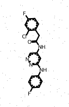 O=C(Cc1ccc(F)cc1Cl)Nc1cnnc(Nc2ccc(F)cc2)c1